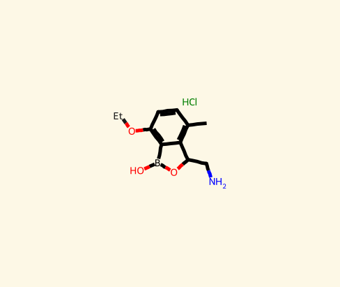 CCOc1ccc(C)c2c1B(O)OC2CN.Cl